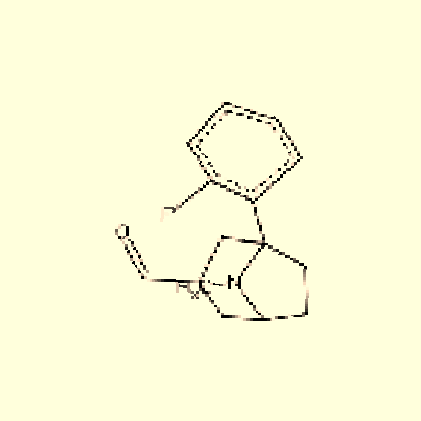 CN1C2CCC1(c1ccccc1F)CC(C=O)C2